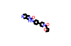 O=C(Nc1ccc(C2=CCN(C(=O)c3ccco3)CC2)cc1)N1Cc2ccncc2C1